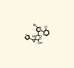 O=C(NC1(C(=O)O)CC1c1ccsc1)c1cc(Br)nn1-c1ncccc1Cl